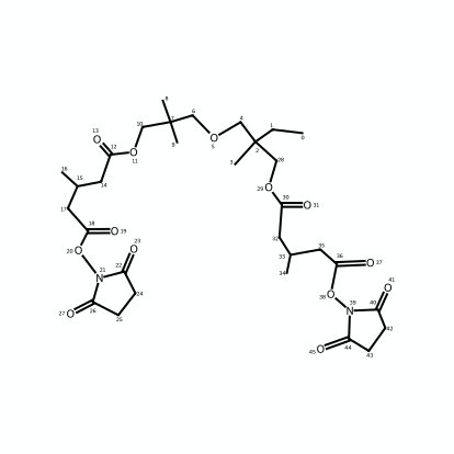 CCC(C)(COCC(C)(C)COC(=O)CC(C)CC(=O)ON1C(=O)CCC1=O)COC(=O)CC(C)CC(=O)ON1C(=O)CCC1=O